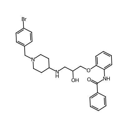 O=C(Nc1ccccc1OCC(O)CNC1CCN(Cc2ccc(Br)cc2)CC1)c1ccccc1